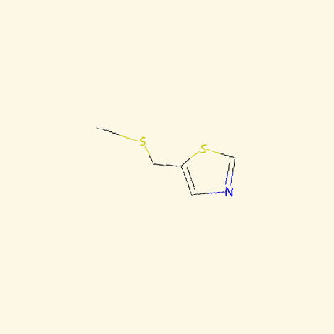 [CH2]SCc1cncs1